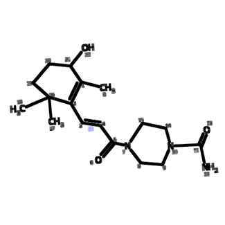 CC1=C(/C=C/C(=O)N2CCN(C(N)=O)CC2)C(C)(C)CCC1O